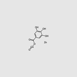 [O]=[Ga][O]C(=O)c1cc(O)c(O)c(O)c1.[Zn]